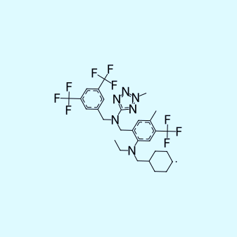 CCN(CC1CC[CH]CC1)c1cc(C(F)(F)F)c(C)cc1CN(Cc1cc(C(F)(F)F)cc(C(F)(F)F)c1)c1nnn(C)n1